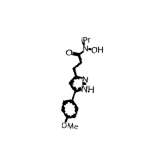 COc1ccc(-c2cc(CCC(=O)N(O)C(C)C)n[nH]2)cc1